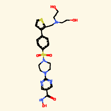 O=C(NO)c1cnc(N2CCN(S(=O)(=O)c3ccc(-c4ccsc4CN(CCO)CCO)cc3)CC2)nc1